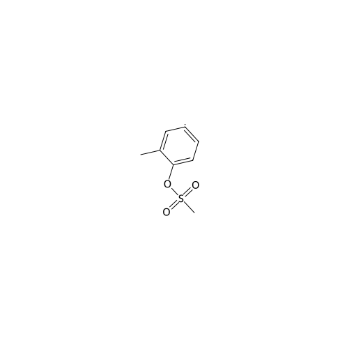 Cc1c[c]ccc1OS(C)(=O)=O